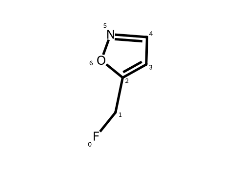 FCc1ccno1